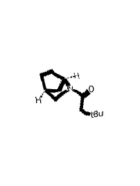 CC(C)(C)CC(=O)N1C[C@H]2CC[C@@H]1C2